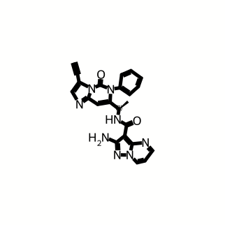 C#Cc1cnc2cc([C@@H](C)NC(=O)c3c(N)nn4cccnc34)n(-c3ccccc3)c(=O)n12